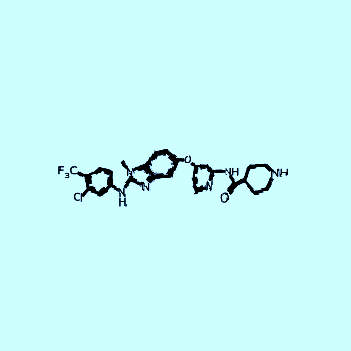 Cn1c(Nc2ccc(C(F)(F)F)c(Cl)c2)nc2cc(Oc3ccnc(NC(=O)C4CCNCC4)c3)ccc21